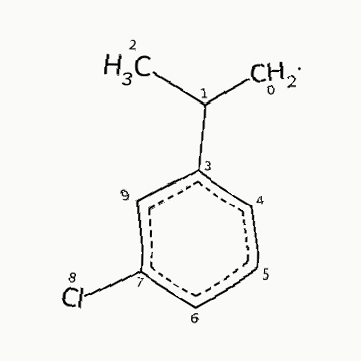 [CH2]C(C)c1cccc(Cl)c1